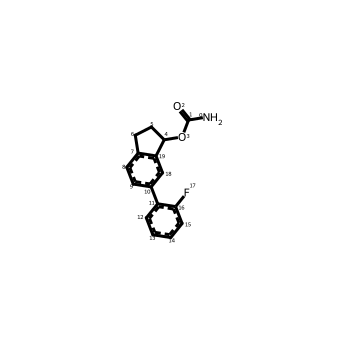 NC(=O)OC1CCc2ccc(-c3ccccc3F)cc21